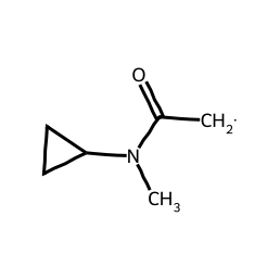 [CH2]C(=O)N(C)C1CC1